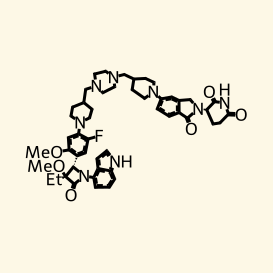 CC[C@]1(OC)C(=O)N(c2cccc3[nH]ccc23)[C@H]1c1cc(F)c(N2CCC(CN3CCN(CC4CCN(c5ccc6c(c5)CN([C@H]5CCC(=O)NC5=O)C6=O)CC4)CC3)CC2)cc1OC